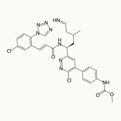 COC(=O)Nc1ccc(-c2cc([C@H](CC(C)CC=N)NC(=O)/C=C/c3cc(Cl)ccc3-n3cnnn3)nnc2Cl)cc1